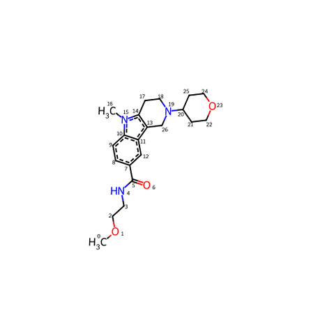 COCCNC(=O)c1ccc2c(c1)c1c(n2C)CCN(C2CCOCC2)C1